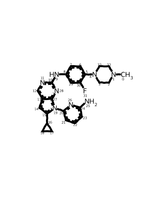 CN1CCN(c2ccc(Nc3ncc4cc(C5CC5)n(-c5cccc(N)n5)c4n3)cc2F)CC1